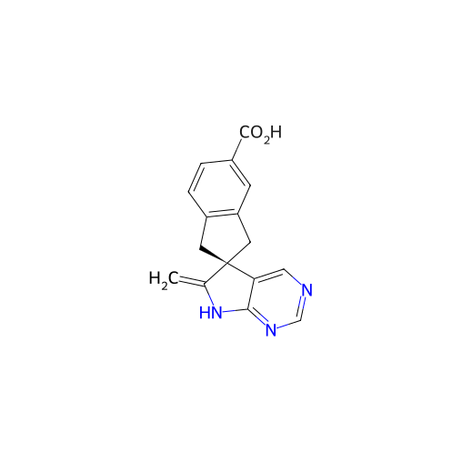 C=C1Nc2ncncc2[C@]12Cc1ccc(C(=O)O)cc1C2